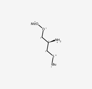 COOC[C@@H](N)CSC(C)(C)C